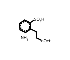 CCCCCCCCCCc1ccccc1S(=O)(=O)O.N